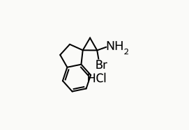 Cl.NC1(Br)CC12CCc1ccccc12